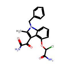 Cc1c(C(=O)C(N)=O)c2c(OC(Cl)C(N)=O)cccc2n1Cc1ccccc1